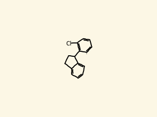 Clc1ccc[c]c1C1CCc2ccccc21